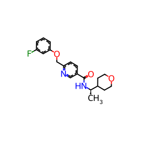 C[C@@H](NC(=O)c1ccc(COc2cccc(F)c2)nc1)C1CCOCC1